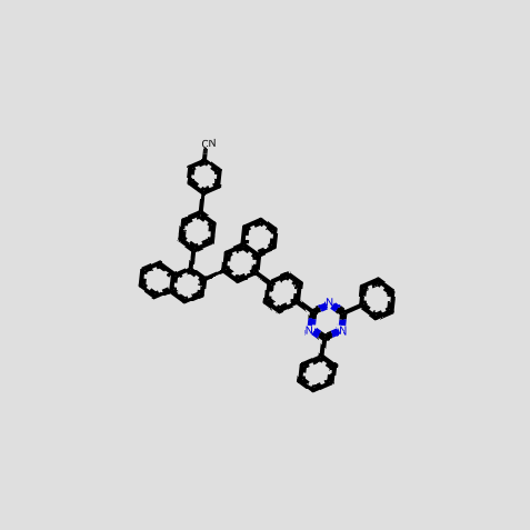 N#Cc1ccc(-c2ccc(-c3c(-c4cc(-c5ccc(-c6nc(-c7ccccc7)nc(-c7ccccc7)n6)cc5)c5ccccc5c4)ccc4ccccc34)cc2)cc1